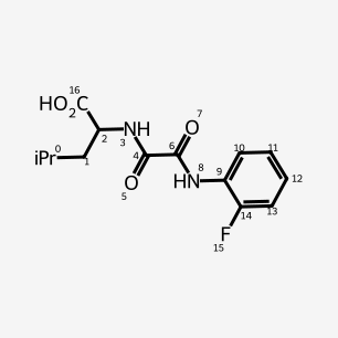 CC(C)CC(NC(=O)C(=O)Nc1ccccc1F)C(=O)O